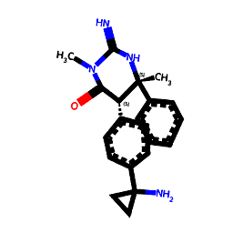 CN1C(=N)N[C@](C)(c2ccccc2)[C@H](c2ccc(C3(N)CC3)cc2)C1=O